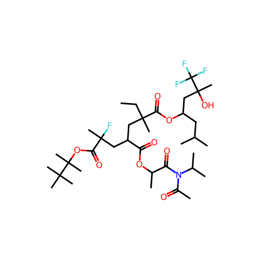 CCC(C)(CC(CC(C)(F)C(=O)OC(C)(C)C(C)(C)C)C(=O)OC(C)C(=O)N(C(C)=O)C(C)C)C(=O)OC(CC(C)C)CC(C)(O)C(F)(F)F